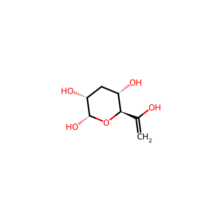 C=C(O)[C@H]1O[C@H](O)[C@H](O)C[C@@H]1O